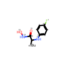 CCCCC(Nc1ccc(F)cc1)C(=O)NO